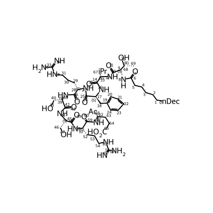 CCCCCCCCCCCCCCCC(=O)N[C@H](C(=O)N[C@H](C(=O)N[C@@H](Cc1ccccc1)C(=O)N[C@@H](CCCNC(=N)N)C(=O)N[C@@H](CO)C(=O)N[C@@H](CO)C(=O)N[C@@H](CCCNC(=N)N)C(=O)N[C@@H](CCC(=O)O)C(C)=O)C(C)C)[C@@H](C)O